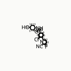 N#Cc1nc(-c2ccc(S(=O)(=O)N[C@H]3CC[C@@H](O)CC3)cc2Cl)ccc1F